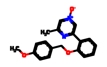 COc1ccc(COc2ccccc2-c2c[n+]([O-])cc(C)n2)cc1